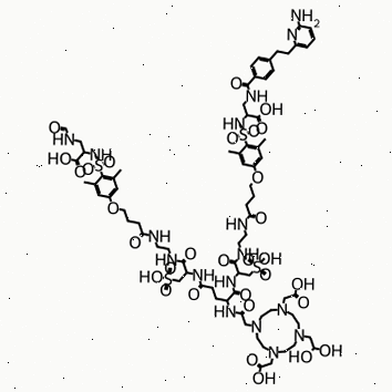 Cc1cc(OCCCC(=O)NCCNC(=O)C(CS(=O)(=O)O)NC(=O)CCC(NC(=O)CN2CCN(CC(=O)O)CCN(CC(O)O)CCN(CC(=O)O)CC2)C(=O)NC(CS(=O)(=O)O)C(=O)NCCNC(=O)CCCOc2cc(C)c(S(=O)(=O)NC(CNC(=O)c3ccc(CCc4cccc(N)n4)cc3)C(=O)O)c(C)c2)cc(C)c1S(=O)(=O)NC(CNC=O)C(=O)O